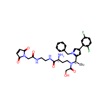 CC(C)(C)[C@H](c1cc(-c2cc(F)ccc2F)cn1Cc1ccccc1)N(CC[C@H](N)C(=O)NCCNC(=O)CN1C(=O)C=CC1=O)C(=O)CO